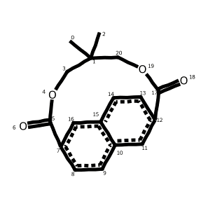 CC1(C)COC(=O)c2ccc3cc(ccc3c2)C(=O)OC1